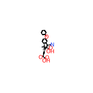 CC1(C)[C@H](C#CC(=O)C(=O)O)[C@@]1(C(=O)O)[C@H](C#N)c1cccc(Oc2ccccc2)c1